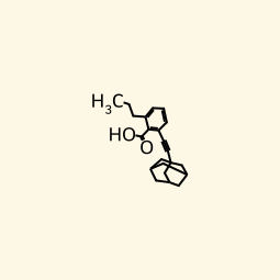 CCCc1cccc(C#CC23CC4CC(CC(C4)C2)C3)c1C(=O)O